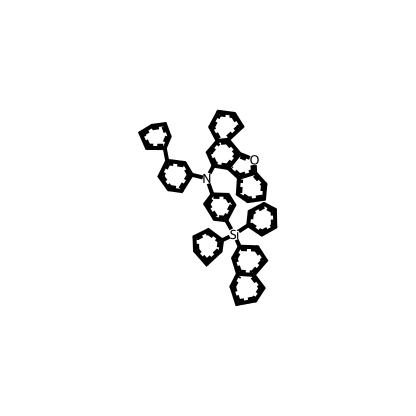 c1ccc(-c2cccc(N(c3ccc([Si](c4ccccc4)(c4ccccc4)c4ccc5ccccc5c4)cc3)c3cc4ccccc4c4oc5ccccc5c34)c2)cc1